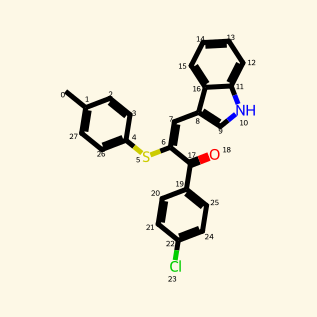 Cc1ccc(S/C(=C/c2c[nH]c3ccccc23)C(=O)c2ccc(Cl)cc2)cc1